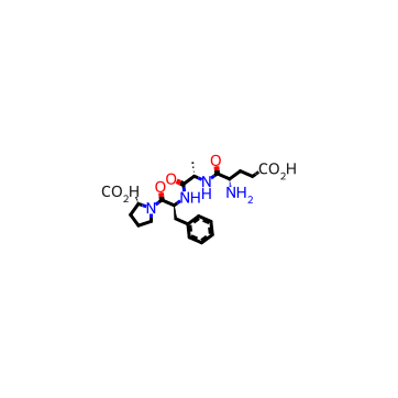 C[C@H](NC(=O)[C@@H](N)CCC(=O)O)C(=O)N[C@@H](Cc1ccccc1)C(=O)N1CCC[C@@H]1C(=O)O